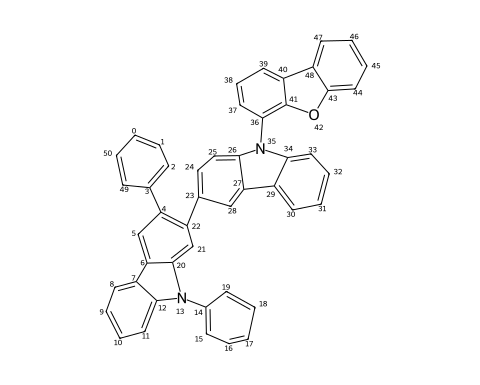 c1ccc(-c2cc3c4ccccc4n(-c4ccccc4)c3cc2-c2ccc3c(c2)c2ccccc2n3-c2cccc3c2oc2ccccc23)cc1